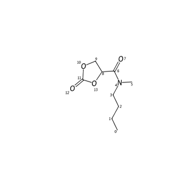 CCCCN(C)C(=O)C1COC(=O)O1